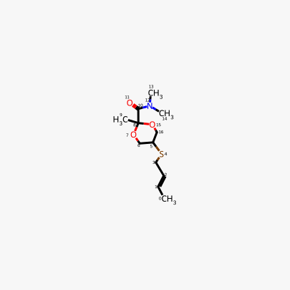 CC=CCSC1COC(C)(C(=O)N(C)C)OC1